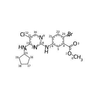 COC(=O)c1cc(Nc2ncc(Cl)c(NC3CCCC3)n2)ccc1Br